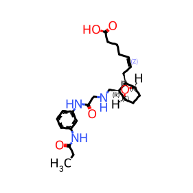 CCC(=O)Nc1cccc(NC(=O)CNC[C@H]2[C@@H](C/C=C\CCCC(=O)O)[C@H]3CC[C@@H]2O3)c1